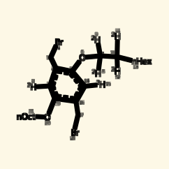 [2H]c1c(CBr)c(OC([2H])([2H])C([2H])([2H])CCCCCC)c([2H])c(CBr)c1OCCCCCCCC